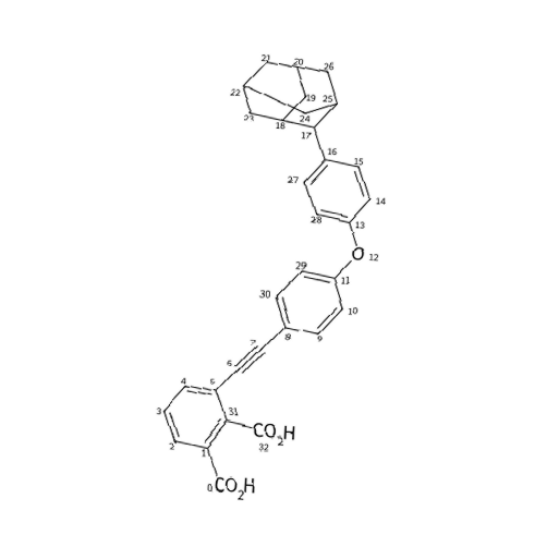 O=C(O)c1cccc(C#Cc2ccc(Oc3ccc(C4C5CC6CC(C5)CC4C6)cc3)cc2)c1C(=O)O